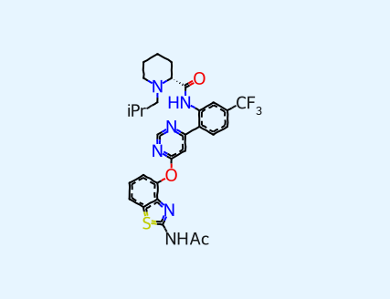 CC(=O)Nc1nc2c(Oc3cc(-c4ccc(C(F)(F)F)cc4NC(=O)[C@H]4CCCCN4CC(C)C)ncn3)cccc2s1